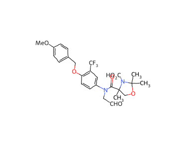 COc1ccc(COc2ccc(N(CC=O)C(=O)C3(C)COC(C)(C)N3C(=O)O)cc2C(F)(F)F)cc1